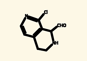 O=CC1NCCc2ccnc(Cl)c21